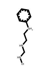 CCNCNCC[SiH2]c1ccccc1